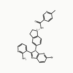 Cc1ccc(C(=O)N[C@H]2CCc3cc(-n4c(-c5cccnc5N)nc5ccc(Br)nc54)ccc32)cn1